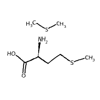 CSC.CSCC[C@H](N)C(=O)O